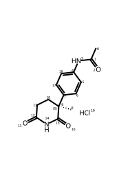 CC(=O)Nc1ccc([C@]2(C)CCC(=O)NC2=O)cc1.Cl